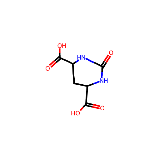 O=C1NC(C(=O)O)CC(C(=O)O)N1